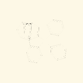 c1ccc(-c2ccccc2S(c2ccccc2)(c2ccccc2)c2ccccc2)cc1